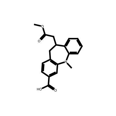 COC(=O)CC1Cc2ccc(C(=O)O)cc2N(C)c2ccccc21